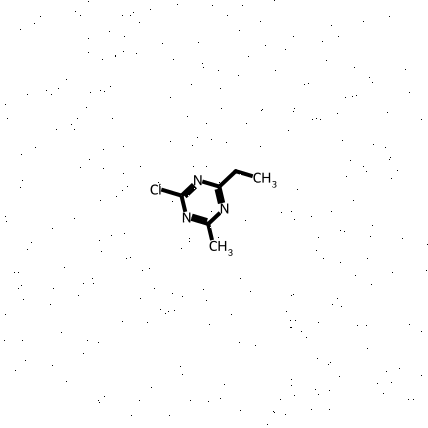 CCc1nc(C)nc(Cl)n1